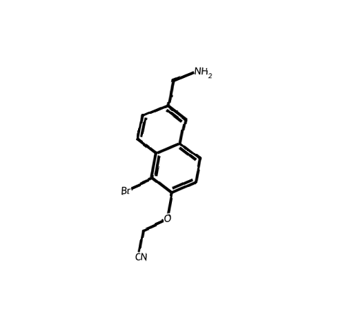 N#CCOc1ccc2cc(CN)ccc2c1Br